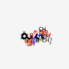 COP(=O)(O)C1N2C(=O)C(NC(=O)C(c3ccccc3)S(=O)(=O)O)[C@H]2SC1(C)C